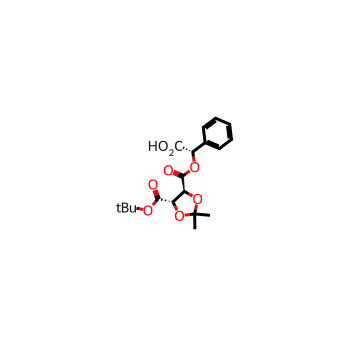 CC(C)(C)OC(=O)[C@H]1OC(C)(C)O[C@@H]1C(=O)O[C@H](C(=O)O)c1ccccc1